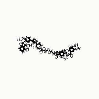 CC(C)c1cc(C(=O)N(C)Cc2ccc(C(=O)NCCOCCOC(=O)N3CCC(n4cc(-c5cnc(N)c(OC(C)c6c(Cl)ccc(F)c6Cl)c5)cn4)CC3)cc2)c(O)cc1O